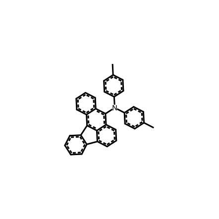 Cc1ccc(N(c2ccc(C)cc2)c2c3ccccc3c3c4c(cccc24)-c2ccccc2-3)cc1